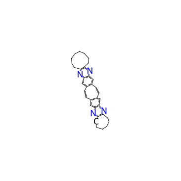 C1=C\c2cc3nc4c(nc3cc2/C=C\c2cc3nc5c(nc3cc2/1)CCCCCCCC5)CCCCCC4